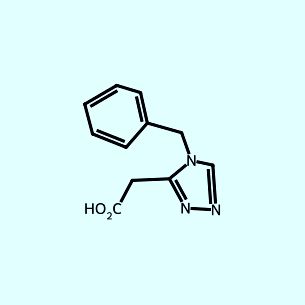 O=C(O)Cc1nncn1Cc1ccccc1